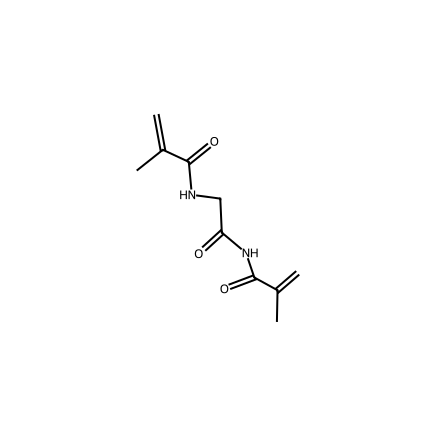 C=C(C)C(=O)NCC(=O)NC(=O)C(=C)C